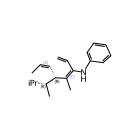 C=C/C(Nc1ccccc1)=C(/C)[C@@H](/C=C\C)[C@H](C)C(C)C